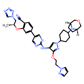 C[C@@H](Cn1cnnn1)Oc1cc(-c2cnc(Nc3cn(C4CCC(N5[C@@H]6CC[C@H]5COC6)CC4)nc3OCCn3cccn3)nc2)ccc1C#N